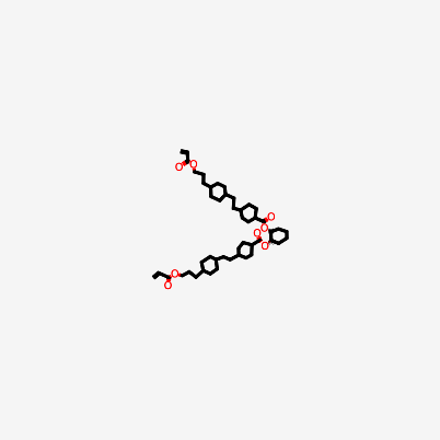 C=CC(=O)OCCCC1CCC(CCC2CCC(C(=O)O[C@@H]3CCCC[C@H]3OC(=O)C3CCC(CCC4CCC(CCCOC(=O)C=C)CC4)CC3)CC2)CC1